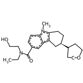 CCN(CCO)C(=O)c1ccc2c(c1)c1c(n2C)CC[C@@H](C2CCOCC2)C1